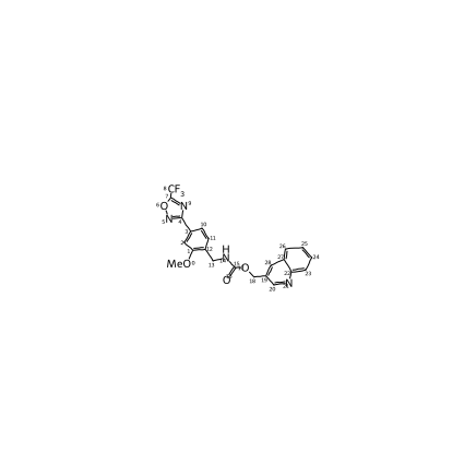 COc1cc(-c2noc(C(F)(F)F)n2)ccc1CNC(=O)OCc1cnc2ccccc2c1